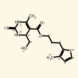 CC1=C(C(=O)OCCCc2sccc2C)C(CO)NC(=S)N1